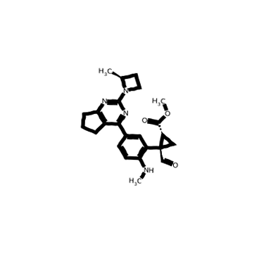 CNc1ccc(-c2nc(N3CC[C@@H]3C)nc3c2CCC3)cc1[C@@]1(C=O)C[C@H]1C(=O)OC